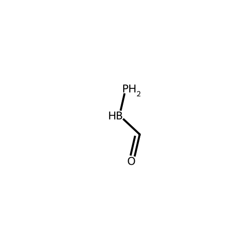 O=CBP